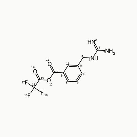 N=C(N)NCc1cccc(C(=O)OC(=O)C(F)(F)F)c1